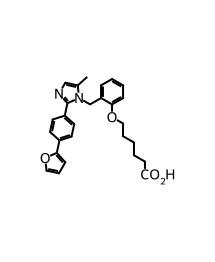 Cc1cnc(-c2ccc(-c3ccco3)cc2)n1Cc1ccccc1OCCCCCC(=O)O